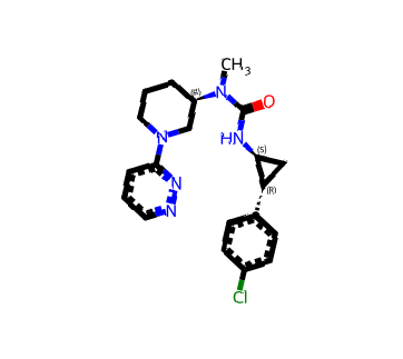 CN(C(=O)N[C@H]1C[C@@H]1c1ccc(Cl)cc1)[C@@H]1CCCN(c2cccnn2)C1